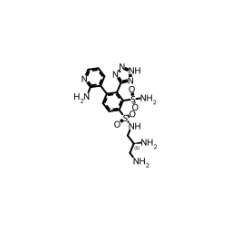 NC[C@H](N)CNS(=O)(=O)c1ccc(-c2cccnc2N)c(-c2nn[nH]n2)c1S(N)(=O)=O